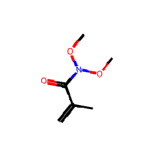 C=C(C)C(=O)N(OC)OC